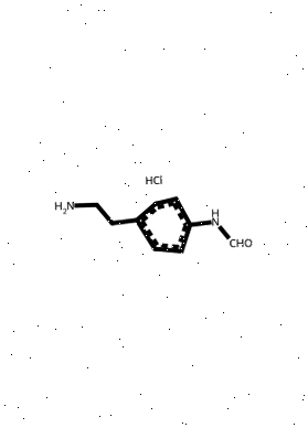 Cl.NCCc1ccc(NC=O)cc1